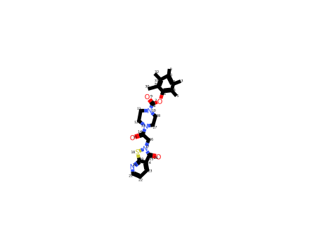 Cc1c(C)c(C)c(OC(=O)N2CCN(C(=O)Cn3sc4ncccc4c3=O)CC2)c(C)c1C